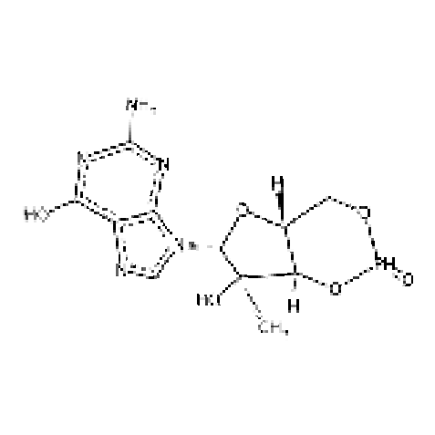 C[C@@]1(O)[C@@H]2O[PH](=O)OC[C@H]2O[C@H]1n1cnc2c(O)nc(N)nc21